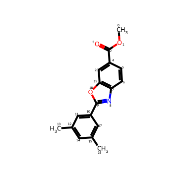 COC(=O)c1ccc2nc(-c3cc(C)cc(C)c3)oc2c1